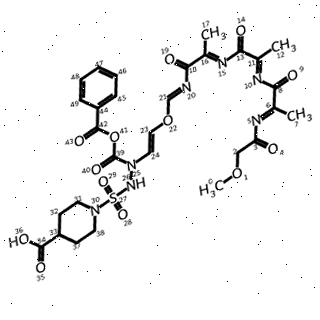 COCC(=O)N=C(C)C(=O)N=C(C)C(=O)N=C(C)C(=O)N=COC=CN(NS(=O)(=O)N1CCC(C(=O)O)CC1)C(=O)OC(=O)c1ccccc1